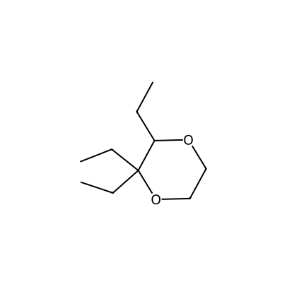 CCC1OCCOC1(CC)CC